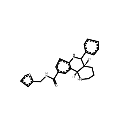 O=C(NCc1cccs1)c1ccc2c(c1)[C@H]1NCCC[C@H]1C(c1ccccc1)N2